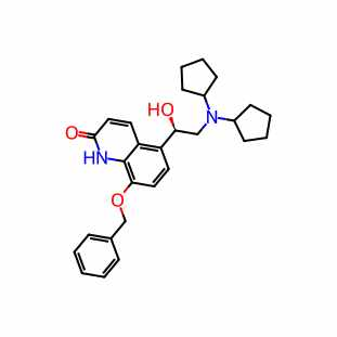 O=c1ccc2c([C@@H](O)CN(C3CCCC3)C3CCCC3)ccc(OCc3ccccc3)c2[nH]1